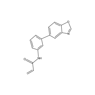 C=CC(=O)Nc1cccc(-c2ccc3ocnc3c2)c1